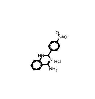 Cl.NC1=NC(c2ccc([N+](=O)[O-])cc2)Nc2ccccc21